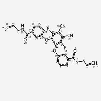 C=CCNC(=O)c1cccc(Oc2c(F)c(C#N)c(C#N)c(F)c2Oc2cccc(C(=O)NCC=C)c2)c1